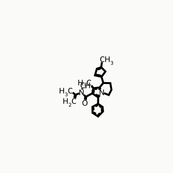 C=C(C)N(C)C(=O)c1c(C)c2n(c1-c1ccccc1)CCCC2C1=CC=C(C)C1